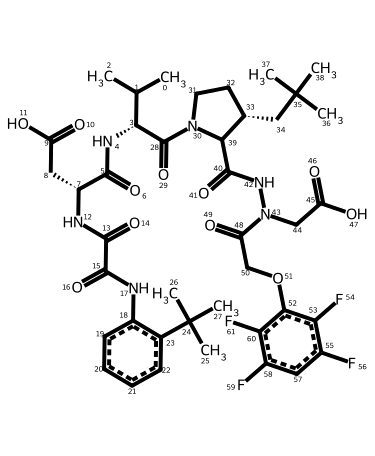 CC(C)[C@@H](NC(=O)[C@@H](CC(=O)O)NC(=O)C(=O)Nc1ccccc1C(C)(C)C)C(=O)N1CC[C@H](CC(C)(C)C)C1C(=O)NN(CC(=O)O)C(=O)COc1c(F)c(F)cc(F)c1F